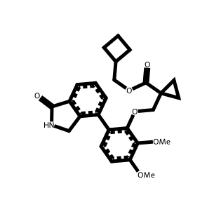 COc1ccc(-c2cccc3c2CNC3=O)c(OCC2(C(=O)OCC3CCC3)CC2)c1OC